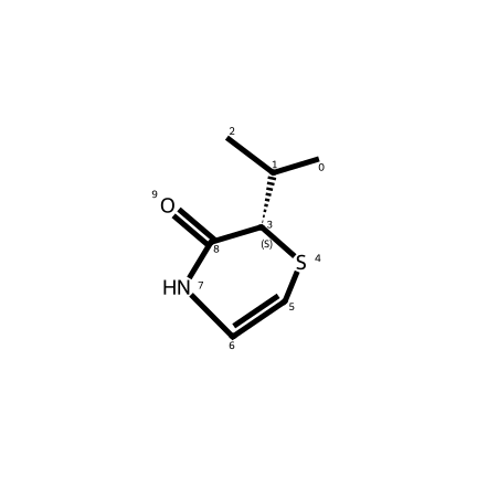 CC(C)[C@@H]1SC=CNC1=O